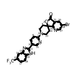 O=C1OC2(CCN(c3ccc(-c4nc5cc(C(F)(F)F)ccc5[nH]4)cn3)CC2)c2ncc(Br)cc21